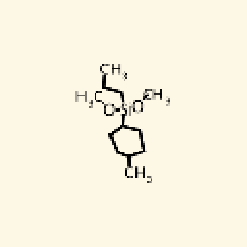 CCC[Si](OC)(OC)C1CCC(C)CC1